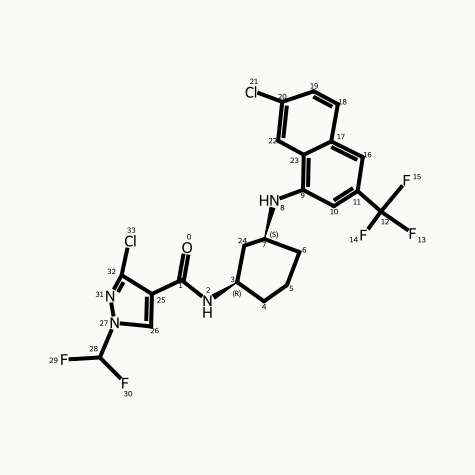 O=C(N[C@@H]1CCC[C@H](Nc2cc(C(F)(F)F)cc3ccc(Cl)cc23)C1)c1cn(C(F)F)nc1Cl